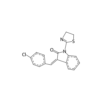 O=C1C(=Cc2ccc(Cl)cc2)c2ccccc2N1C1=NCCS1